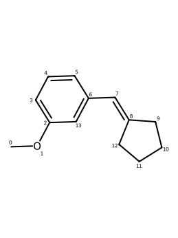 COc1cccc(C=C2CCCC2)c1